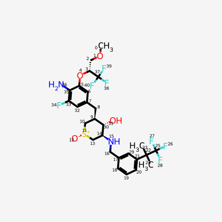 COC[C@@H](Oc1cc(C[C@@H]2C[S@@+]([O-])C[C@H](NCc3cccc(C(C)(C)C(F)(F)F)c3)[C@H]2O)cc(F)c1N)C(F)(F)F